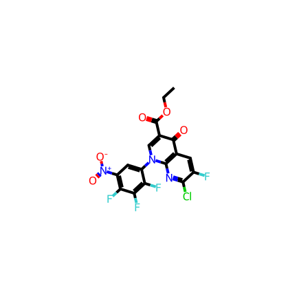 CCOC(=O)c1cn(-c2cc([N+](=O)[O-])c(F)c(F)c2F)c2nc(Cl)c(F)cc2c1=O